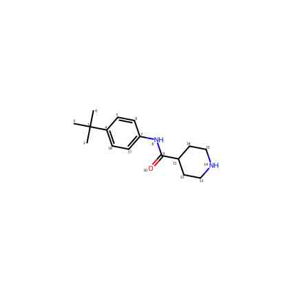 CC(C)(C)c1ccc(NC(=O)C2CCNCC2)cc1